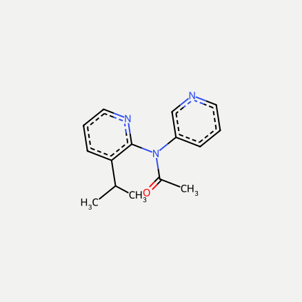 CC(=O)N(c1cccnc1)c1ncccc1C(C)C